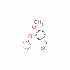 COc1ccc(CBr)cc1OC1CCCC1